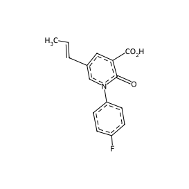 CC=Cc1cc(C(=O)O)c(=O)n(-c2ccc(F)cc2)c1